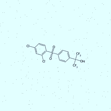 O=S(=O)(c1ccc(C(O)(C(F)(F)F)C(F)(F)F)cc1)c1ccc(Cl)cc1Cl